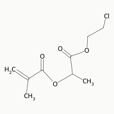 C=C(C)C(=O)OC(C)C(=O)OCCCl